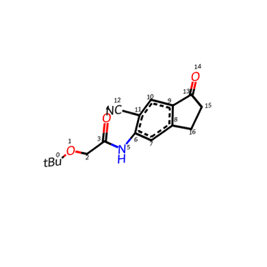 CC(C)(C)OCC(=O)Nc1cc2c(cc1C#N)C(=O)CC2